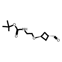 CC(C)(C)OC(=O)NCCO[C@H]1C[C@H](C=O)C1